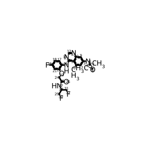 Cc1cc(N=S(C)(C)=O)cc2ncnc(Nc3ccc(F)cc3OCC(=O)NC(CF)CF)c12